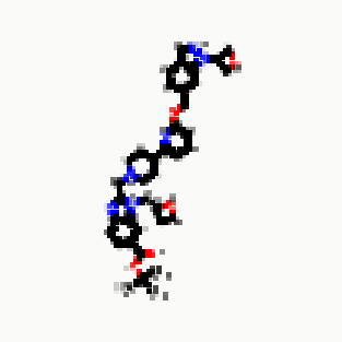 CC(C)(C)OC(=O)c1ccc2nc(CN3CCC(c4cccc(OCc5ccc6cnn(C7COC7)c6c5)n4)CC3)n(C[C@@H]3CCO3)c2c1